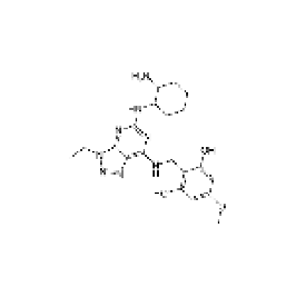 CCn1nnc2c(NCc3c(O)cc(OC)cc3O)nc(NC3CCCCC3N)nc21